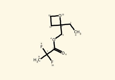 CCC1(COC(=O)C(C)(F)F)CCO1